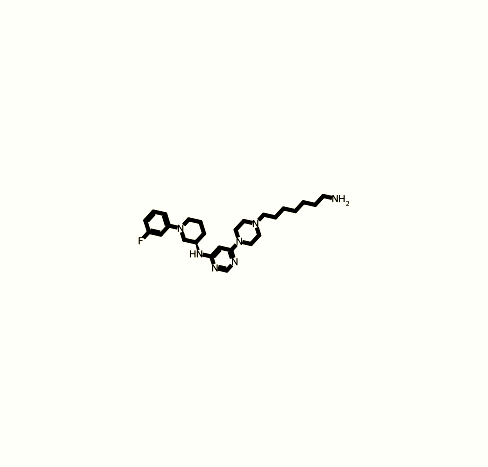 NCCCCCCCN1CCN(c2cc(N[C@@H]3CCCN(c4cccc(F)c4)C3)ncn2)CC1